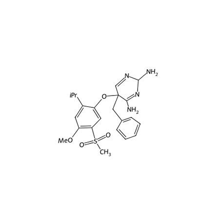 COc1cc(C(C)C)c(OC2(Cc3ccccc3)C=NC(N)N=C2N)cc1S(C)(=O)=O